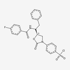 O=C(NC(Cc1ccccc1)[C@H]1CN(c2ccc(S(=O)(=O)Cl)cc2)C(=O)O1)c1ccc(F)cc1